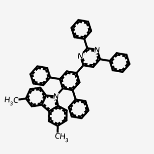 Cc1ccc2c(c1)c1cc(C)ccc1n2-c1c(-c2ccccc2)cc(-c2cc(-c3ccccc3)nc(-c3ccccc3)n2)cc1-c1ccccc1